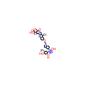 CCc1c2c(nc3ccc(OCCn4ccc5cc(-n6c(O)nnc6-c6cc(C(C)C)c(O)cc6O)ccc54)cc13)-c1cc3c(c(=O)n1C2)COC(=O)C3(O)CC